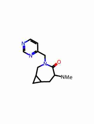 CNC1CC2CC2CN(Cc2ccncn2)C1=O